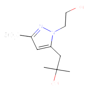 CCOC(=O)c1cc(CC(C)(C)O)n(CCO)n1